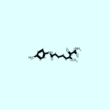 Cc1ccc(NC(=O)CCCCC(C)C(=O)C(N)=O)cc1